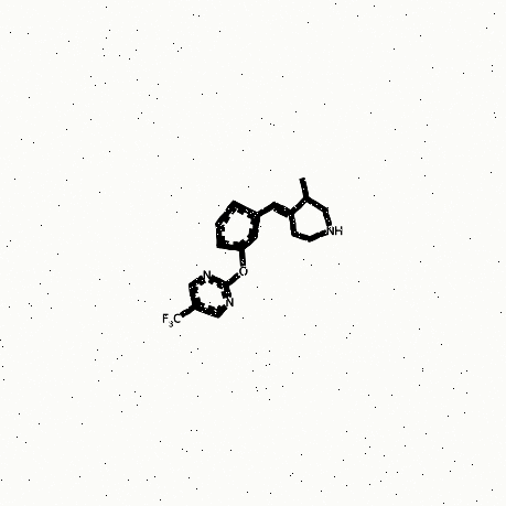 CC1CNCCC1=Cc1cccc(Oc2ncc(C(F)(F)F)cn2)c1